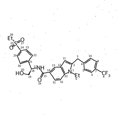 CCn1c(Cc2ccc(C(F)(F)F)cc2)cc2cc(C(=O)N[C@@H](CO)c3ccc(S(=O)(=O)CC)cc3)ccc21